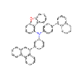 c1cc(-c2cc3ccccc3c3ccccc23)cc(N(c2ccc(-c3cccc4ccccc34)cc2)c2cccc3oc4ccccc4c23)c1